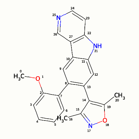 COc1ccccc1-c1cc2c(cc1-c1c(C)noc1C)[nH]c1ccncc12